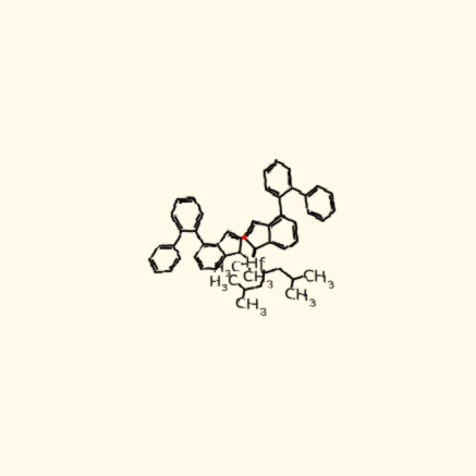 CC(C)C[C](CC(C)C)=[Hf]([CH3])([CH3])([CH]1C=Cc2c(-c3ccccc3-c3ccccc3)cccc21)[CH]1C=Cc2c(-c3ccccc3-c3ccccc3)cccc21